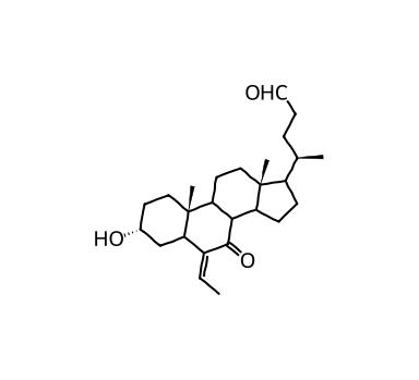 CC=C1C(=O)C2C(CC[C@@]3(C)C2CCC3[C@H](C)CCC=O)[C@@]2(C)CC[C@@H](O)CC12